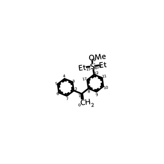 C=C(c1ccccc1)c1cccc([Si](CC)(CC)OC)c1